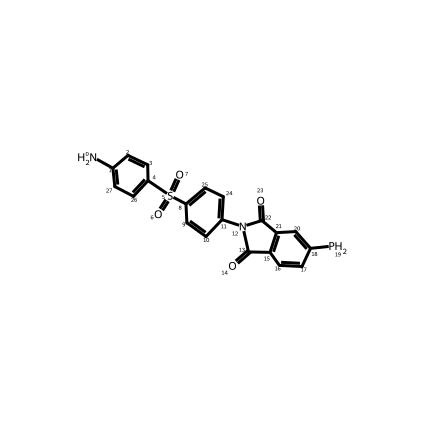 Nc1ccc(S(=O)(=O)c2ccc(N3C(=O)c4ccc(P)cc4C3=O)cc2)cc1